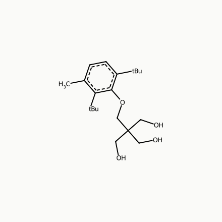 Cc1ccc(C(C)(C)C)c(OCC(CO)(CO)CO)c1C(C)(C)C